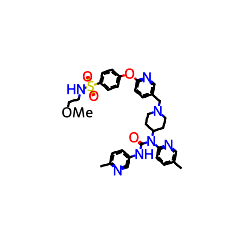 COCCNS(=O)(=O)c1ccc(Oc2ccc(CN3CCC(N(C(=O)Nc4ccc(C)nc4)c4ccc(C)cn4)CC3)cn2)cc1